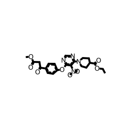 CCOC(=O)C1CCN(c2ncnc(Oc3ccc(C(=O)CC(=O)OC)cc3)c2[N+](=O)[O-])CC1